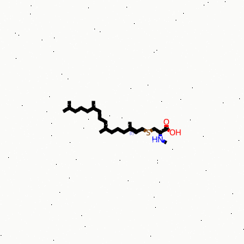 CNC(CSC/C=C(\C)CCCC(C)CCCC(C)CCCC(C)C)C(=O)O